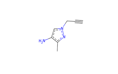 C#CCn1cc(N)c(C)n1